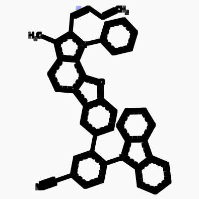 C=C/C=C\c1c(C)c2ccc3c4cc(-c5cc(C#N)ccc5-n5c6ccccc6c6ccccc65)ccc4oc3c2n1-c1ccccc1